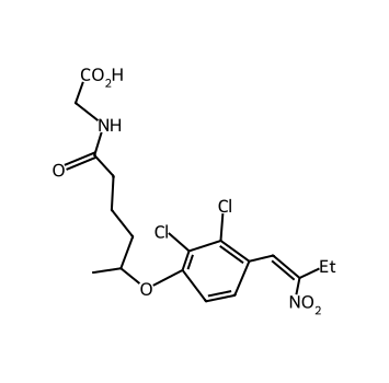 CCC(=Cc1ccc(OC(C)CCCC(=O)NCC(=O)O)c(Cl)c1Cl)[N+](=O)[O-]